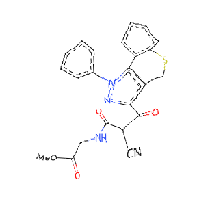 COC(=O)CNC(=O)C(C#N)C(=O)c1nn(-c2ccccc2)c2c1CSc1ccccc1-2